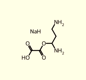 NCCC(N)OC(=O)C(=O)O.[NaH]